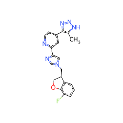 Cc1[nH]nnc1-c1ccnc(-c2cn(C[C@@H]3COc4c(F)cccc43)cn2)c1